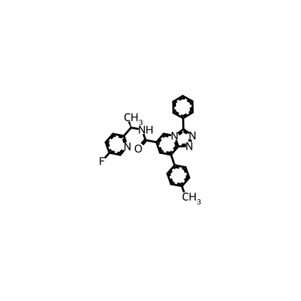 Cc1ccc(-c2cc(C(=O)N[C@H](C)c3ccc(F)cn3)cn3c(-c4ccccc4)nnc23)cc1